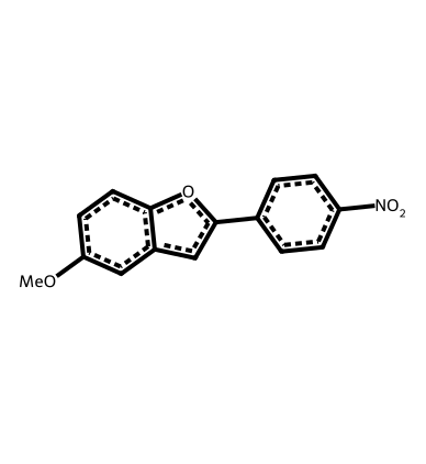 COc1ccc2oc(-c3ccc([N+](=O)[O-])cc3)cc2c1